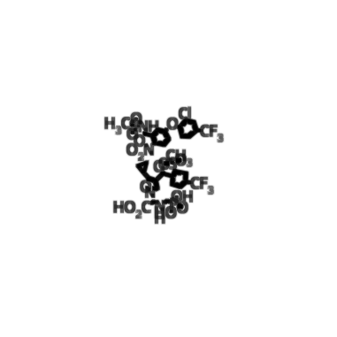 CS(=O)(=O)NC(=O)c1cc(Oc2ccc(C(F)(F)F)cc2Cl)ccc1[N+](=O)[O-].CS(=O)(=O)c1cc(C(F)(F)F)ccc1C(=O)c1cnoc1C1CC1.O=C(O)CNCP(=O)(O)O